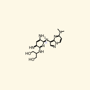 CN(C)c1ccn2ncc(/N=C3\N=C(NC(CO)CO)C(=N)C=C3N)c2n1